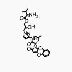 CC(C)C[C@@H](C(=O)Nc1ccn(C[C@@H](O)COC(=O)[C@@H](N)C(C)C)n1)N1CC(Oc2ccccc2Cl)=CC1=O